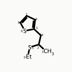 CCSC(C)[CH]c1cccs1